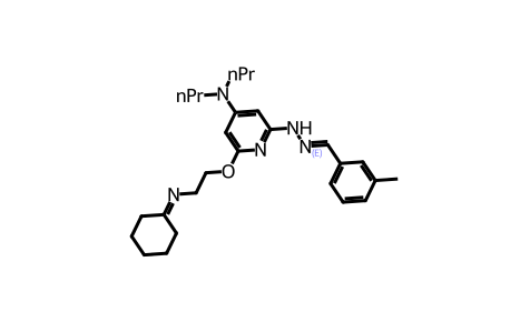 CCCN(CCC)c1cc(N/N=C/c2cccc(C)c2)nc(OCCN=C2CCCCC2)c1